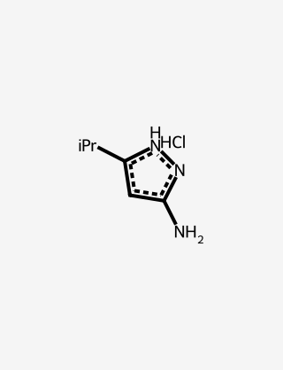 CC(C)c1cc(N)n[nH]1.Cl